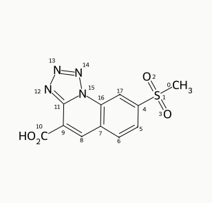 CS(=O)(=O)c1ccc2cc(C(=O)O)c3nnnn3c2c1